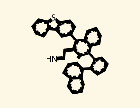 C=c1c(-c2ccccc2-c2cccc3ccccc23)c2ccccc2c(-c2ccc3sc4ccccc4c3c2)/c1=C/C=N